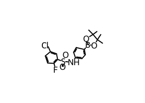 CC1(C)OB(c2ccc(NS(=O)(=O)c3cc(Cl)ccc3F)cc2)OC1(C)C